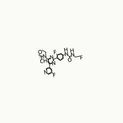 C[C@H]1COCCN1c1cc(-c2cncc(F)c2)nc(-c2ccc(NC(=O)NCCF)cc2F)n1